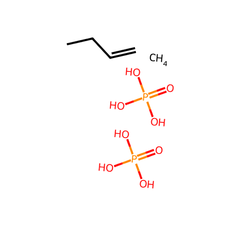 C.C=CCC.O=P(O)(O)O.O=P(O)(O)O